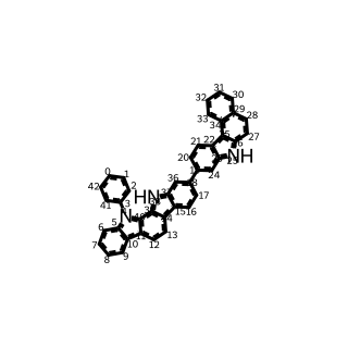 c1ccc(-n2c3ccccc3c3ccc4c5ccc(-c6ccc7c(c6)[nH]c6ccc8ccccc8c67)cc5[nH]c4c32)cc1